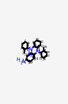 Cc1ccccc1Nc1ccccc1N(c1ccc(N)cc1)c1ccccc1C